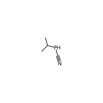 CC(C)PC#N